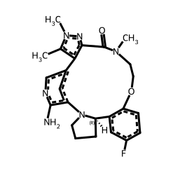 Cc1c2c(nn1C)C(=O)N(C)CCOc1ccc(F)cc1[C@H]1CCCN1c1cc-2cnc1N